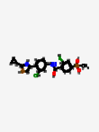 CS(=O)(=O)c1ccc(C(=O)Nc2ccc(-c3csc(C4CC4)n3)c(Cl)c2)c(F)c1